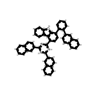 c1ccc(-c2ccc(-c3nc(-c4ccc5ccccc5c4)nc(-c4ccc5ccccc5c4)n3)c3c2oc2ccccc23)c(-c2ccc3ccccc3c2)c1